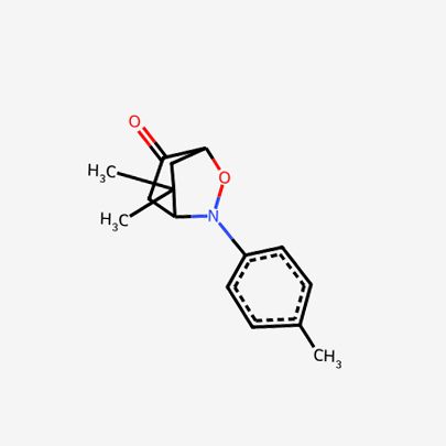 Cc1ccc(N2OC3CC(C)(C)C2CC3=O)cc1